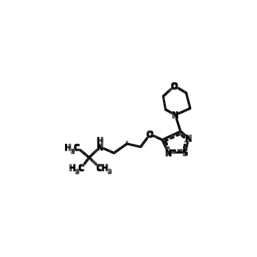 CC(C)(C)NC[CH]COc1nsnc1N1CCOCC1